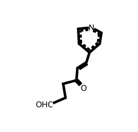 O=CCCC(=O)/C=C/c1ccncc1